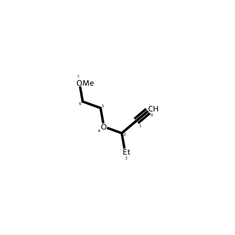 C#CC(CC)OCCOC